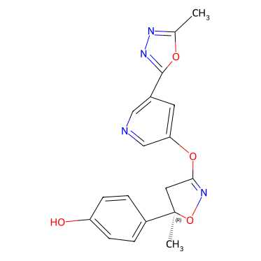 Cc1nnc(-c2cncc(OC3=NO[C@@](C)(c4ccc(O)cc4)C3)c2)o1